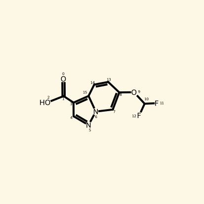 O=C(O)c1cnn2cc(OC(F)F)ccc12